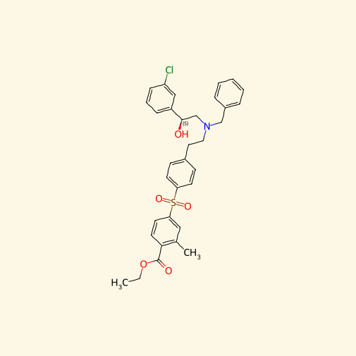 CCOC(=O)c1ccc(S(=O)(=O)c2ccc(CCN(Cc3ccccc3)C[C@@H](O)c3cccc(Cl)c3)cc2)cc1C